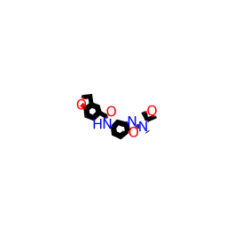 CN(c1nc2cc(NC(=O)c3ccc4c(c3)CCO4)ccc2o1)C1COC1